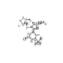 C[C@@H]1CC[C@@H](C)N1Cc1sc(N)nc1-c1cc(Cl)cc(C(F)(F)F)c1